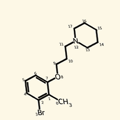 Cc1c(Br)cccc1OCCCN1CCCCC1